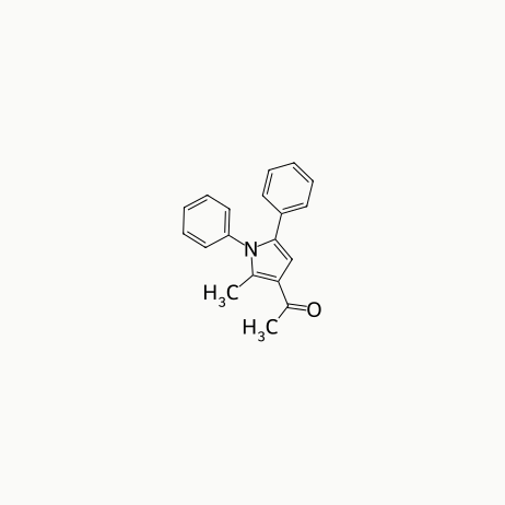 CC(=O)c1cc(-c2ccccc2)n(-c2ccccc2)c1C